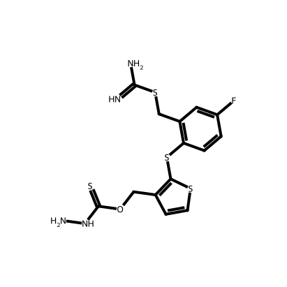 N=C(N)SCc1cc(F)ccc1Sc1sccc1COC(=S)NN